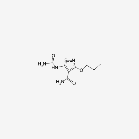 CCCOc1nsc(NC(N)=O)c1C(N)=O